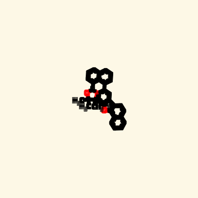 CC1(C)OB(c2cccc3cccc(-c4ccc5oc6c7ccccc7ccc6c5c4)c23)OC1(C)C